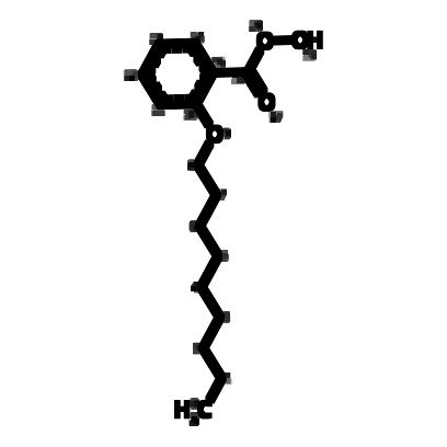 CCCCCCCCCOc1ccccc1C(=O)OO